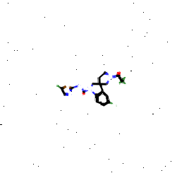 O=C(Nc1ncc(Cl)s1)N1CC2(CCN(C(=O)C(F)(F)F)C2)c2cc(Br)ccc21